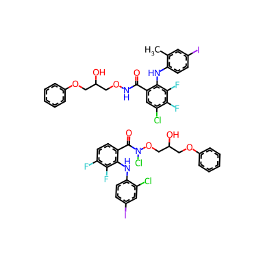 Cc1cc(I)ccc1Nc1c(C(=O)NOCC(O)COc2ccccc2)cc(Cl)c(F)c1F.O=C(c1ccc(F)c(F)c1Nc1ccc(I)cc1Cl)N(Cl)OCC(O)COc1ccccc1